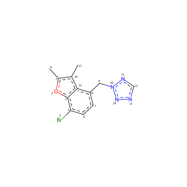 Cc1oc2c(Br)ccc(Cn3ncnn3)c2c1C